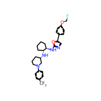 FCOc1ccc(-c2cnc(N[C@@H]3CCCC[C@H]3N[C@H]3CCCN(c4ccc(C(F)(F)F)cc4)C3)o2)cc1